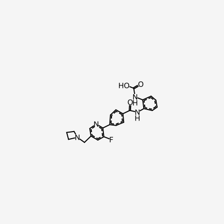 O=C(O)Nc1ccccc1NC(=O)c1ccc(-c2ncc(CN3CCC3)cc2F)cc1